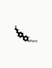 CCCCCC1CCC(c2ccc(CC=CF)cc2)CC1